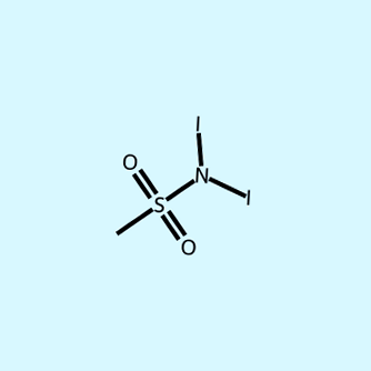 CS(=O)(=O)N(I)I